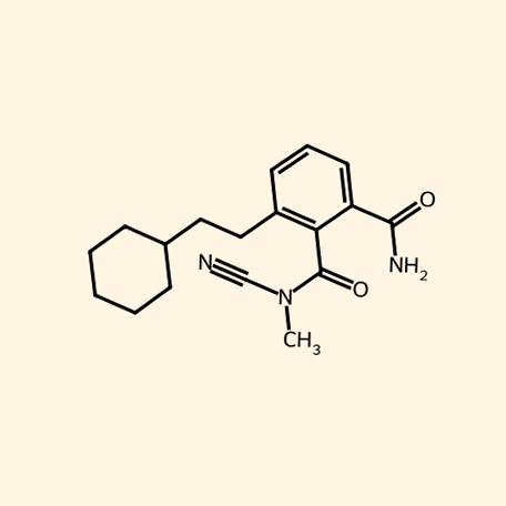 CN(C#N)C(=O)c1c(CCC2CCCCC2)cccc1C(N)=O